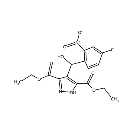 CCOC(=O)c1n[nH]c(C(=O)OCC)c1C(O)c1ccc(Cl)cc1[N+](=O)[O-]